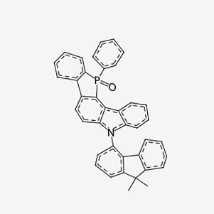 CC1(C)c2ccccc2-c2c(-n3c4ccccc4c4c5c(ccc43)-c3ccccc3P5(=O)c3ccccc3)cccc21